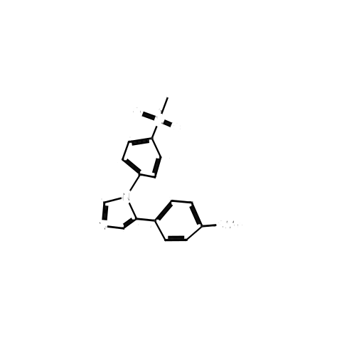 CSc1ccc(-c2cncn2-c2ccc(S(C)(=O)=O)cc2)cc1